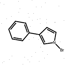 Brn1ccc(-c2ccccc2)c1